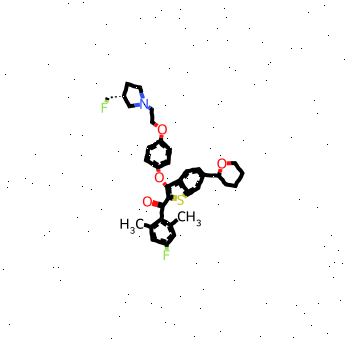 Cc1cc(F)cc(C)c1C(=O)c1sc2cc(C3CCCCO3)ccc2c1Oc1ccc(OCCN2CC[C@@H](CF)C2)cc1